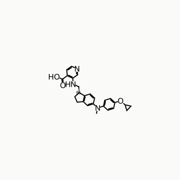 CN(c1ccc(OC2CC2)cc1)c1ccc2c(c1)CC[C@H]2CNc1cnccc1C(=O)O